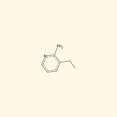 CCc1cccnc1P